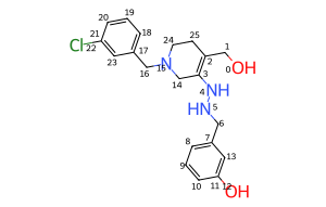 OCC1=C(NNCc2cccc(O)c2)CN(Cc2cccc(Cl)c2)CC1